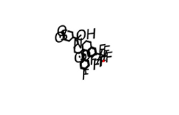 O=S1(=O)CCC(C(O)N2CCCC3(S(=O)(=O)c4ccc(F)cc4)c4ccc(C(F)(C(F)(F)F)C(F)(F)F)cc4CCC23)CC1